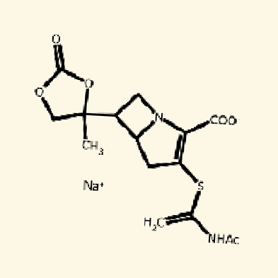 C=C(NC(C)=O)SC1=C(C(=O)[O-])N2CC(C3(C)COC(=O)O3)C2C1.[Na+]